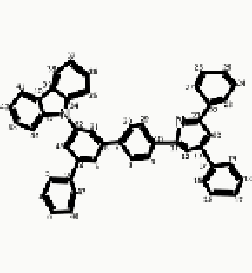 c1ccc(-c2cc(-c3ccc(-c4cc(-c5ccccc5)cc(-c5ccccc5)n4)cc3)cc(-n3c4ccccc4c4ccccc43)c2)cc1